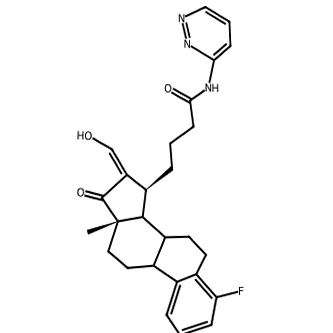 C[C@]12CCC3c4cccc(F)c4CCC3C1[C@H](CCCC(=O)Nc1cccnn1)/C(=C/O)C2=O